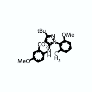 COc1ccc(Nc2cc(C(C)(C)C)nn2-c2c(C)cccc2OC)c(C(=O)O)c1